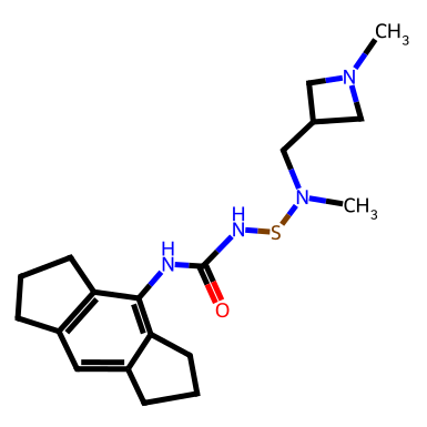 CN1CC(CN(C)SNC(=O)Nc2c3c(cc4c2CCC4)CCC3)C1